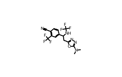 CN(C)c1nnc(CC(NC(F)(F)F)c2ccc(C#N)c(C(F)(F)F)c2)o1